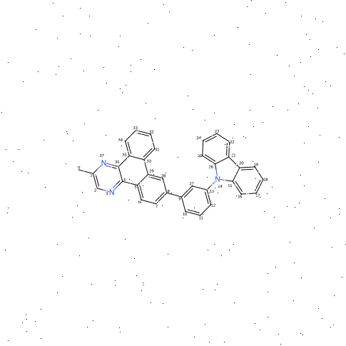 Cc1cnc2c3ccc(-c4cccc(-n5c6ccccc6c6ccccc65)c4)cc3c3ccccc3c2n1